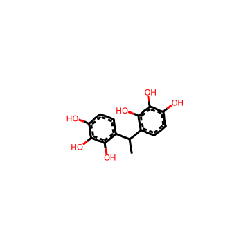 CC(c1ccc(O)c(O)c1O)c1ccc(O)c(O)c1O